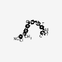 C[C@H]1CC2(CCN(c3ccc(C(=O)N4CCC(CN5CCC(c6ccc(N[C@H]7CCC(=O)NC7=O)cc6F)CC5)CC4)cc3)CC2)CN1c1ccc(C#N)c(Cl)c1